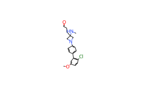 CNC1(CCC=O)CN(c2ccc(-c3cc(OC)ccc3Cl)cc2)C1